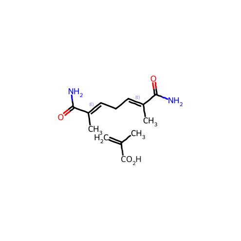 C/C(=C\C/C=C(\C)C(N)=O)C(N)=O.C=C(C)C(=O)O